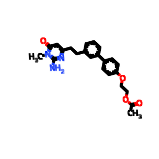 CC(=O)OCCOc1ccc(-c2cccc(CCc3cc(=O)n(C)c(N)n3)c2)cc1